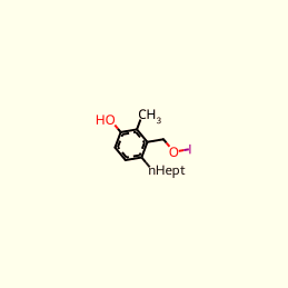 CCCCCCCc1ccc(O)c(C)c1COI